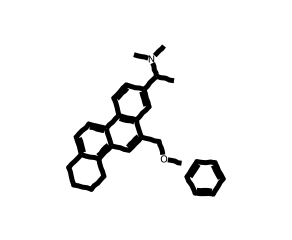 COCc1cc2c3c(ccc2c2ccc(C(C)N(C)C)cc12)CCCC3.c1ccccc1